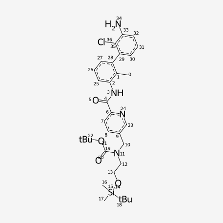 Cc1c(NC(=O)c2ccc(CN(CCO[Si](C)(C)C(C)(C)C)C(=O)OC(C)(C)C)cn2)cccc1-c1cccc(N)c1Cl